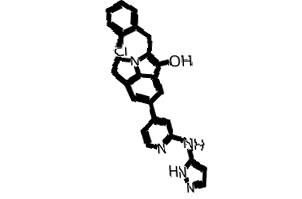 Oc1c(Cc2ccccc2Cl)n2c3c(cc(-c4ccnc(Nc5ccn[nH]5)c4)cc13)CC2